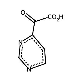 O=C(O)C(=O)c1ccncn1